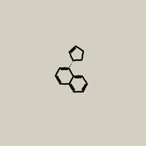 C1=C[C@@H](c2cccc3ccccc23)CC1